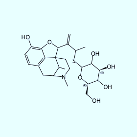 C=C(C(C)SC1O[C@H](CO)C(O)[C@H](O)C1O)C1Oc2c(O)ccc3c2C12CCN(C)C(C3)C2C